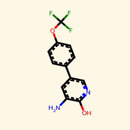 Nc1cc(-c2ccc(OC(F)(F)F)cc2)cnc1O